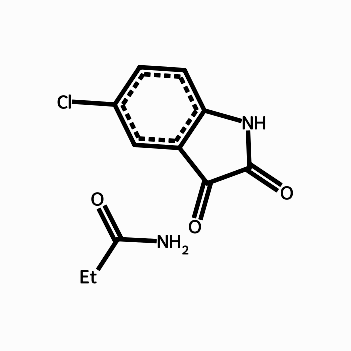 CCC(N)=O.O=C1Nc2ccc(Cl)cc2C1=O